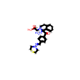 NC1(C(=O)c2ccc(C=NN3CCSCC3)cc2)c2ccccc2CCN1CC(=O)O